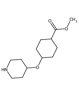 COC(=O)C1CCC(OC2CCNCC2)CC1